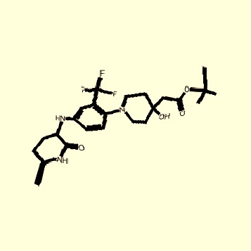 C=C1CCC(Nc2ccc(N3CCC(O)(CC(=O)OC(C)(C)C)CC3)c(C(F)(F)F)c2)C(=O)N1